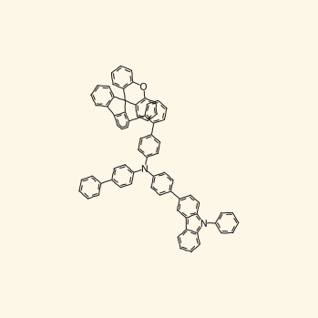 c1ccc(-c2ccc(N(c3ccc(-c4ccc5c(c4)c4ccccc4n5-c4ccccc4)cc3)c3ccc(-c4ccccc4-c4cccc5c4C4(c6ccccc6Oc6ccccc64)c4ccccc4-5)cc3)cc2)cc1